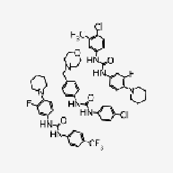 O=C(Nc1ccc(C(F)(F)F)cc1)Nc1ccc(N2CCCCC2)c(F)c1.O=C(Nc1ccc(Cl)cc1)Nc1ccc(CN2CCOCC2)cc1.O=C(Nc1ccc(N2CCCCC2)c(F)c1)Nc1ccc(Cl)c(C(F)(F)F)c1